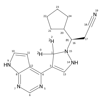 [2H]C1([2H])C(c2ncnc3[nH]ccc23)=CNN1[C@H](CC#N)C1CCCC1